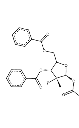 CC(=O)O[C@@H]1OC(COC(=O)c2ccccc2)[C@@H](OC(=O)c2ccccc2)[C@@]1(C)F